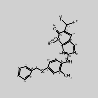 Cc1cc(SCc2ccccc2)ccc1Nc1ncc2cc(C(F)F)c(=O)n(C(C)C)c2n1